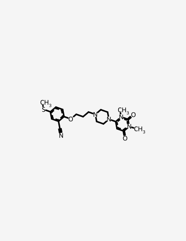 CSc1ccc(OCCCN2CCN(c3cc(=O)n(C)c(=O)n3C)CC2)c(C#N)c1